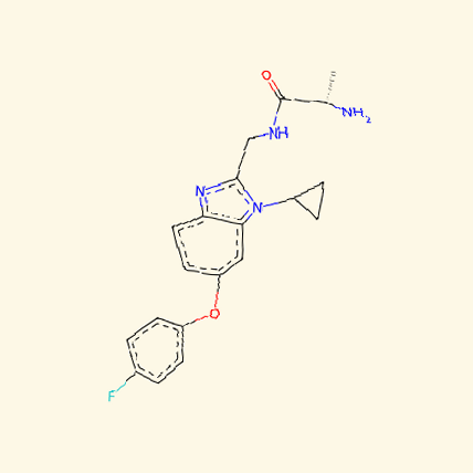 C[C@H](N)C(=O)NCc1nc2ccc(Oc3ccc(F)cc3)cc2n1C1CC1